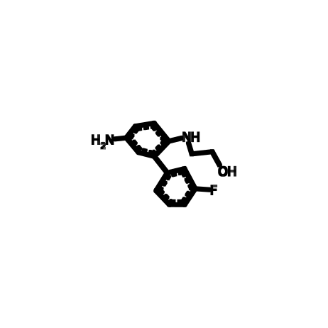 Nc1ccc(NCCO)c(-c2cccc(F)c2)c1